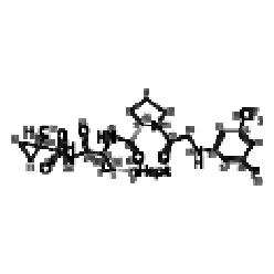 CCCCCCC[C@@H]1C[C@]1(NC(=O)[C@@H]1CCCN1C(=O)CNc1cc(F)cc(C(F)(F)F)c1)C(=O)NS(=O)(=O)C1(C)CC1